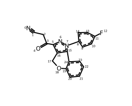 N#CCC(=O)c1nn(-c2ccc(F)cc2)c2c1COc1ccccc1-2